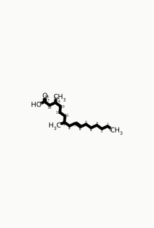 CCCCCC/C=C/CC(C)CCCC(C)CC(=O)O